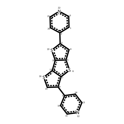 c1cc(-c2cc3sc4c(-c5ccncc5)csc4c3s2)ccn1